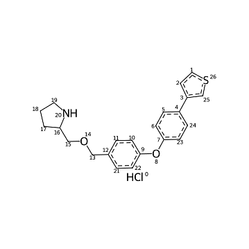 Cl.c1cc(-c2ccc(Oc3ccc(COCC4CCCN4)cc3)cc2)cs1